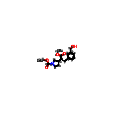 CC(C)(C)OC(=O)[C@@H](Cc1cccc(CO)c1)[C@H]1CCN(C(=O)OC(C)(C)C)C1